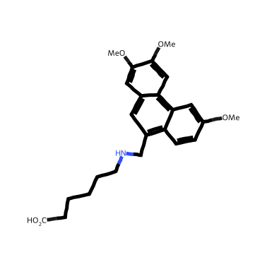 COc1ccc2c(CNCCCCCC(=O)O)cc3cc(OC)c(OC)cc3c2c1